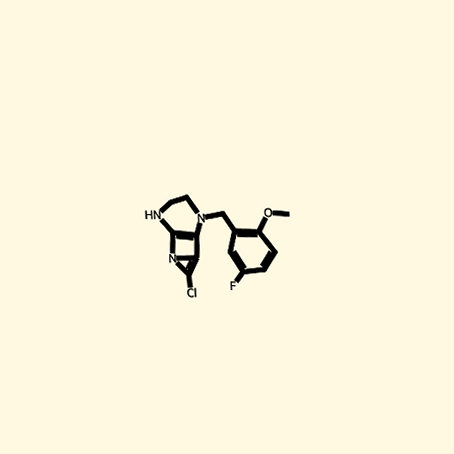 COc1ccc(F)cc1CN1CCNc2c1c1c(Cl)n2-1